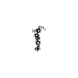 C[C@H]1CC[C@H](c2ccc3sc(C4CCN(CCC(F)(F)F)CC4)nc3c2)NC1